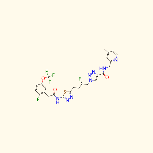 Cc1ccnc(CNC(=O)c2cn(CC(F)CCc3nnc(NC(=O)Cc4cc(OC(F)(F)F)ccc4F)s3)nn2)c1